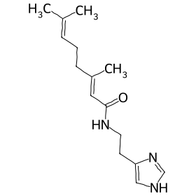 CC(C)=CCC/C(C)=C/C(=O)NCCc1c[nH]cn1